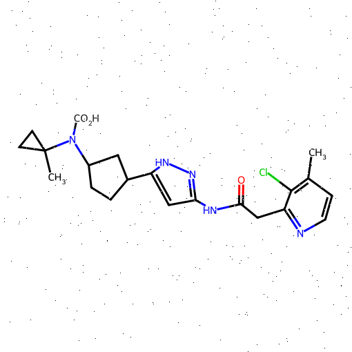 Cc1ccnc(CC(=O)Nc2cc(C3CCC(N(C(=O)O)C4(C)CC4)C3)[nH]n2)c1Cl